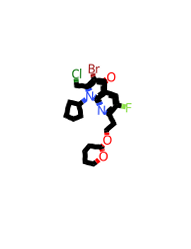 O=c1c(Br)c(CCl)n(C2CCCC2)c2nc(CCOC3CCCCO3)c(F)cc12